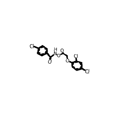 O=C(COc1ccc(Cl)cc1Cl)ONC(=O)c1ccc(Cl)cc1